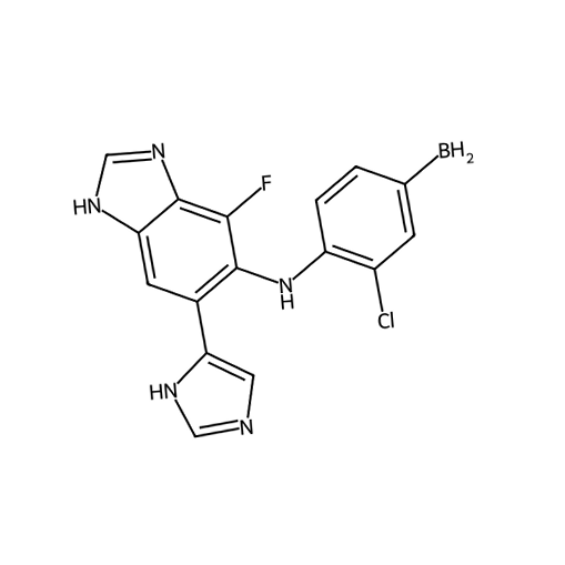 Bc1ccc(Nc2c(-c3cnc[nH]3)cc3[nH]cnc3c2F)c(Cl)c1